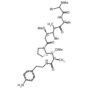 CCC(C)C([C@@H](CC(=O)N1CCC[C@H]1[C@H](OC)[C@@H](C)C(=O)NCCc1ccc(N)cc1)OC)N(C)C(=O)[C@@H](NC(=O)C(NC)C(C)C)C(C)C